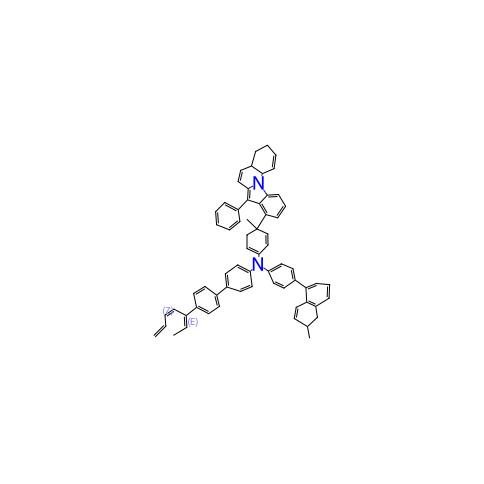 C=C/C=C\C(=C/C)c1ccc(-c2ccc(N(C3=CCC(C)(c4cccc5c4c(-c4ccccc4)c4n5C5C=CCCC5C=C4)C=C3)c3ccc(-c4cccc5c4C=CC(C)C5)cc3)cc2)cc1